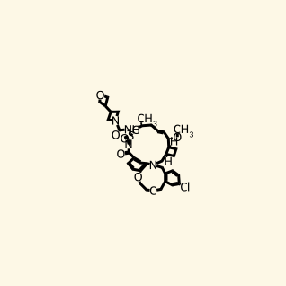 CO[C@H]1/C=C/C[C@H](C)CS(=O)(NC(=O)N2CC(C3COC3)C2)=NC(=O)c2ccc3c(c2)N(Cc2ccc(Cl)cc2CCCCO3)C[C@@H]2CC[C@H]21